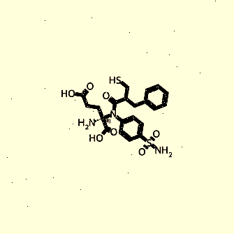 N[C@@](CCC(=O)O)(C(=O)O)N(C(=O)C(CS)Cc1ccccc1)c1ccc(S(N)(=O)=O)cc1